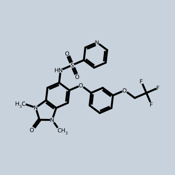 Cn1c(=O)n(C)c2cc(Oc3cccc(OCC(F)(F)F)c3)c(NS(=O)(=O)c3cccnc3)cc21